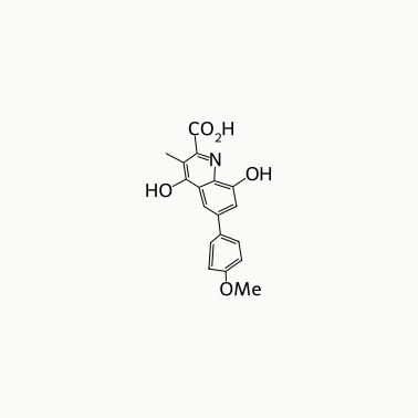 COc1ccc(-c2cc(O)c3nc(C(=O)O)c(C)c(O)c3c2)cc1